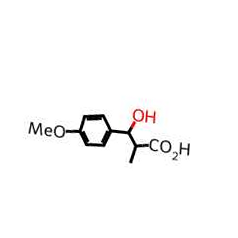 COc1ccc(C(O)C(C)C(=O)O)cc1